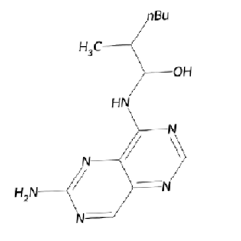 CCCCC(C)C(O)Nc1ncnc2cnc(N)nc12